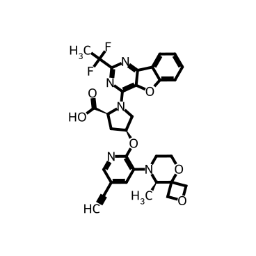 C#Cc1cnc(O[C@H]2C[C@@H](C(=O)O)N(c3nc(C(C)(F)F)nc4c3oc3ccccc34)C2)c(N2CCOC3(COC3)[C@H]2C)c1